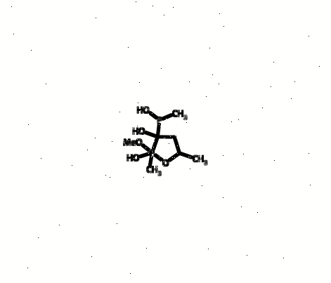 COP1(C)(O)OC(C)CC1(O)P(C)O